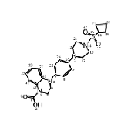 O=C(O)N1CCN(c2ccc(N3CCN(S(=O)(=O)C4CCC4)CC3)cc2)c2ccccc21